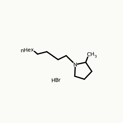 Br.CCCCCCCCCCN1CCCC1C